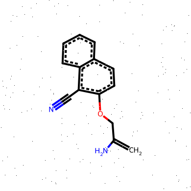 C=C(N)COc1ccc2ccccc2c1C#N